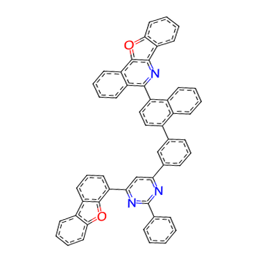 c1ccc(-c2nc(-c3cccc(-c4ccc(-c5nc6c7ccccc7oc6c6ccccc56)c5ccccc45)c3)cc(-c3cccc4c3oc3ccccc34)n2)cc1